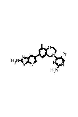 Cc1cc(-c2cnc3sc(N)nc3c2)cc2c1OCCN(c1nc(N)ncc1C(C)C)C2